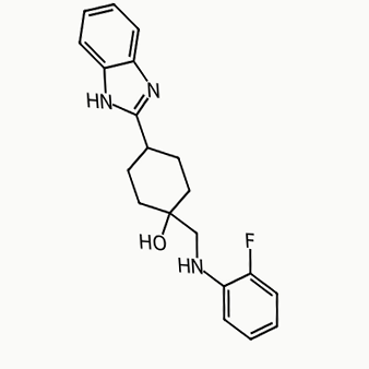 OC1(CNc2ccccc2F)CCC(c2nc3ccccc3[nH]2)CC1